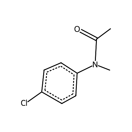 CC(=O)N(C)c1ccc(Cl)cc1